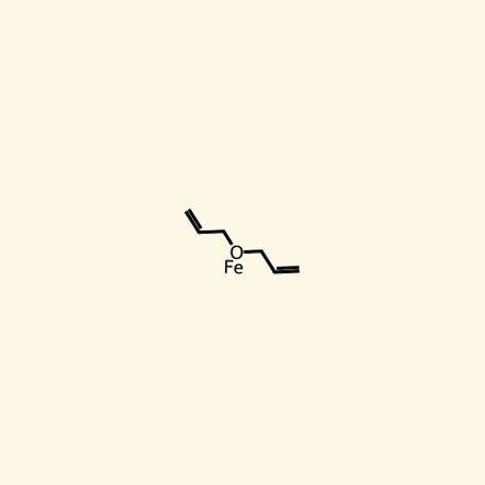 C=CCOCC=C.[Fe]